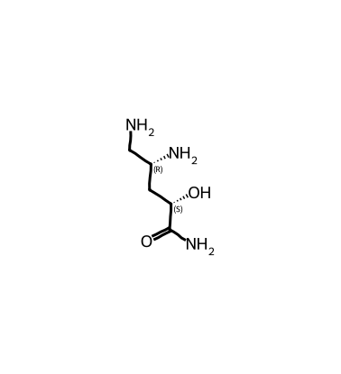 NC[C@H](N)C[C@H](O)C(N)=O